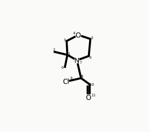 CC1(C)COCCN1C(Cl)C=O